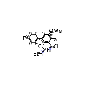 CC/C=C(Cl)/N=C(/Cl)c1cc(-c2ccc(F)cc2)cc(OC)c1C